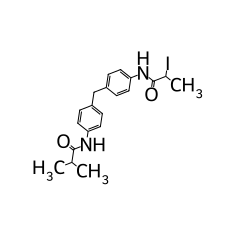 CC(C)C(=O)Nc1ccc(Cc2ccc(NC(=O)C(C)I)cc2)cc1